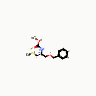 CCSC[C@H](COCc1ccccc1)NC(=O)OC(C)(C)C